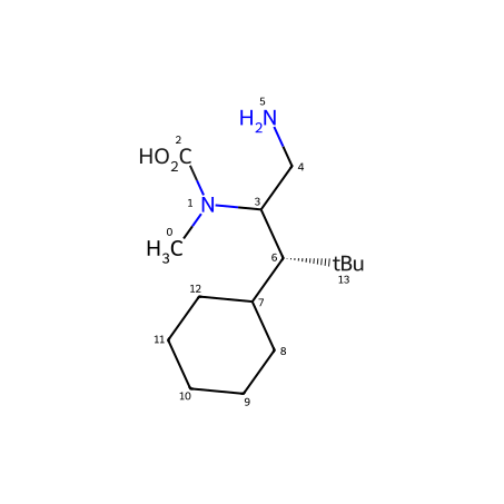 CN(C(=O)O)C(CN)[C@@H](C1CCCCC1)C(C)(C)C